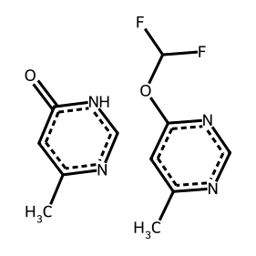 Cc1cc(=O)[nH]cn1.Cc1cc(OC(F)F)ncn1